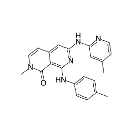 Cc1ccc(Nc2nc(Nc3cc(C)ccn3)cc3ccn(C)c(=O)c23)cc1